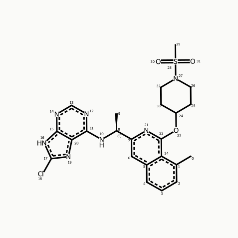 Cc1cccc2cc([C@H](C)Nc3ncnc4[nH]c(Cl)nc34)nc(OC3CCN(S(C)(=O)=O)CC3)c12